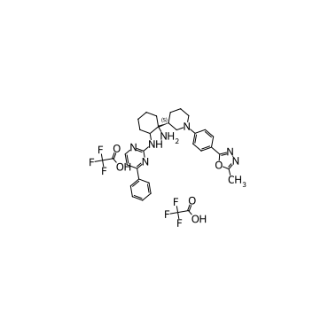 Cc1nnc(-c2ccc(N3CCC[C@H](C4(N)CCCCC4Nc4nccc(-c5ccccc5)n4)C3)cc2)o1.O=C(O)C(F)(F)F.O=C(O)C(F)(F)F